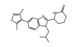 Cc1noc(C)c1-c1ccc2c(c1)nc(C1CCCC(=O)N1)n2CC(C)C